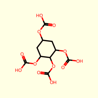 O=C(O)OC1CC(OC(=O)O)C(OC(=O)O)C(OC(=O)O)C1